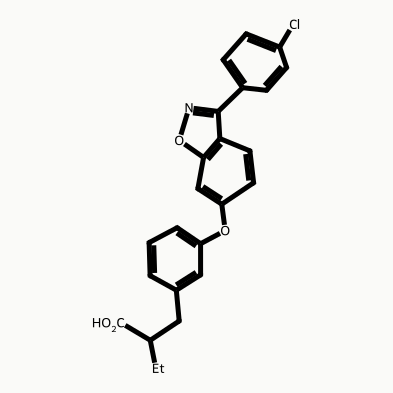 CCC(Cc1cccc(Oc2ccc3c(-c4ccc(Cl)cc4)noc3c2)c1)C(=O)O